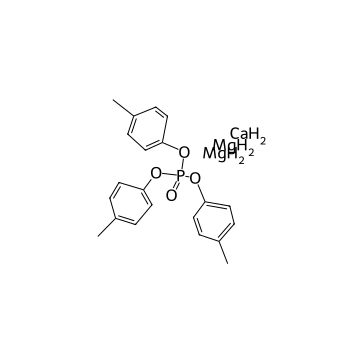 Cc1ccc(OP(=O)(Oc2ccc(C)cc2)Oc2ccc(C)cc2)cc1.[CaH2].[MgH2].[MgH2]